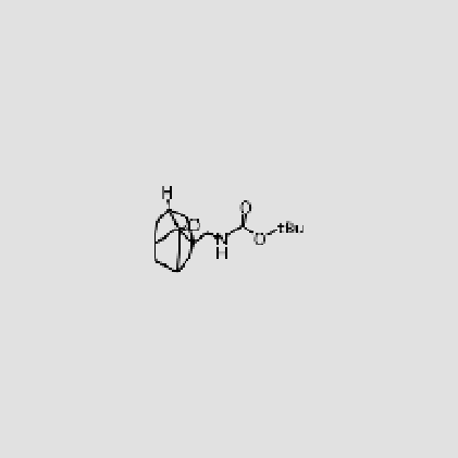 CC(C)(C)OC(=O)NCC12CC3CC(C1)C(=O)[C@H](C3)C2